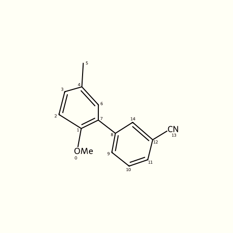 COc1ccc(C)cc1-c1cccc(C#N)c1